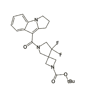 CC(C)(C)OC(=O)N1CC2(C1)CN(C(=O)c1c3n(c4ccccc14)CCC3)CC2(F)F